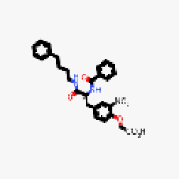 O=C(O)COc1ccc(C[C@H](NC(=O)c2ccccc2)C(=O)NCCCCc2ccccc2)cc1[N+](=O)[O-]